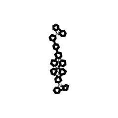 c1ccc([Si](c2ccccc2)(c2cccc3c2oc2ccc(-c4ccc(-c5cccc(-n6c7ccccc7c7ccccc76)c5)cc4)cc23)c2cccc3c2oc2ccc(-n4c5ccccc5c5ccccc54)cc23)cc1